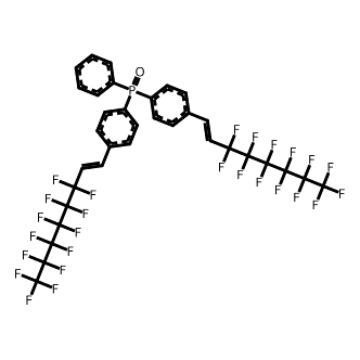 O=P(c1ccccc1)(c1ccc(C=CC(F)(F)C(F)(F)C(F)(F)C(F)(F)C(F)(F)C(F)(F)F)cc1)c1ccc(C=CC(F)(F)C(F)(F)C(F)(F)C(F)(F)C(F)(F)C(F)(F)F)cc1